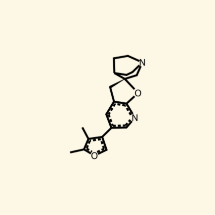 Cc1occ(-c2cnc3c(c2)C[C@@]2(CN4CCC2CC4)O3)c1C